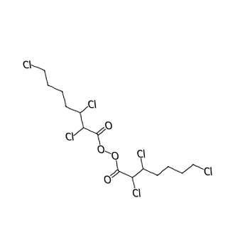 O=C(OOC(=O)C(Cl)C(Cl)CCCCCl)C(Cl)C(Cl)CCCCCl